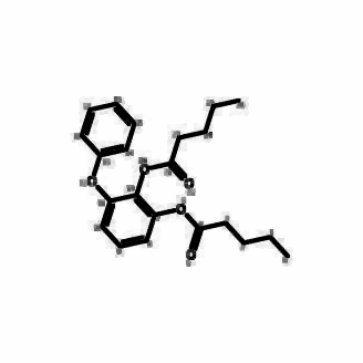 CCCCC(=O)Oc1cccc(Oc2ccccc2)c1OC(=O)CCCC